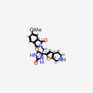 COc1ccc2c(c1)C(=O)N(C[C@@]1(c3cc4c(o3)CNCC4)NC(=O)NC1=O)C2